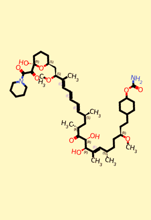 CO[C@H](CCC1CCC(OC(N)=O)CC1)CC[C@H](C)/C=C(\C)[C@@H](O)[C@@H](O)C(=O)[C@H](C)C[C@H](C)/C=C/C=C/C=C(\C)[C@H](C[C@@H]1CCC[C@](O)(C(=O)C(=O)N2CCCCC2)O1)OC